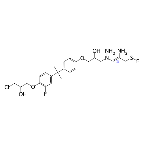 CC(C)(c1ccc(OCC(O)CN(N)/C=C(\N)CSF)cc1)c1ccc(OCC(O)CCl)c(F)c1